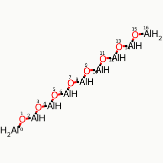 [AlH2][O][AlH][O][AlH][O][AlH][O][AlH][O][AlH][O][AlH][O][AlH][O][AlH2]